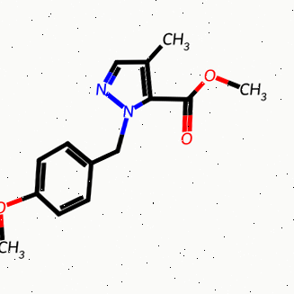 COC(=O)c1c(C)cnn1Cc1ccc(OC)cc1